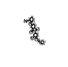 COc1cc(N2C(=O)c3ccc(Oc4ccccc4C#N)cc3C2=O)ccc1OCCN1CCCC1